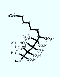 CCCCCCCCCCCCCCCC(C(C(C(C(S(=O)(=O)O)(S(=O)(=O)O)S(=O)(=O)O)(S(=O)(=O)O)S(=O)(=O)O)(S(=O)(=O)O)S(=O)(=O)O)(S(=O)(=O)O)S(=O)(=O)O)S(=O)(=O)O.[KH]